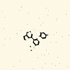 Cn1cc(-c2cc(N[S+](C)[O-])ccc2Oc2ccc(F)cc2F)c2occc2c1=O